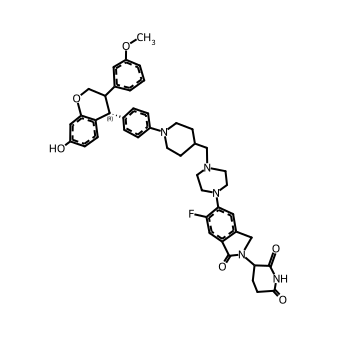 COc1cccc(C2COc3cc(O)ccc3[C@H]2c2ccc(N3CCC(CN4CCN(c5cc6c(cc5F)C(=O)N(C5CCC(=O)NC5=O)C6)CC4)CC3)cc2)c1